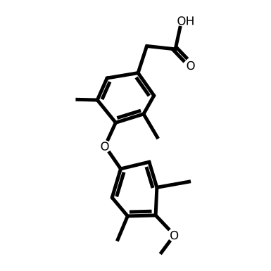 COc1c(C)cc(Oc2c(C)cc(CC(=O)O)cc2C)cc1C